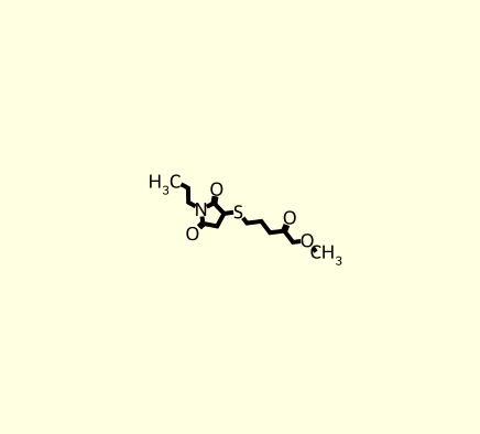 CCCN1C(=O)CC(SCCCC(=O)COC)C1=O